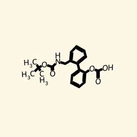 CC(C)(C)OC(=O)NCc1ccccc1-c1ccccc1OC(=O)O